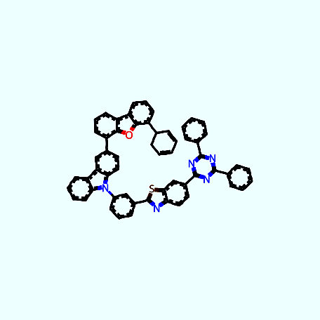 C1=CCC(c2cccc3c2oc2c(-c4ccc5c(c4)c4ccccc4n5-c4cccc(-c5nc6ccc(-c7nc(-c8ccccc8)nc(-c8ccccc8)n7)cc6s5)c4)cccc23)C=C1